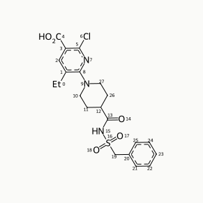 CCc1cc(C(=O)O)c(Cl)nc1N1CCC(C(=O)NS(=O)(=O)Cc2ccccc2)CC1